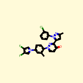 Cc1cc(-c2nn(-c3ccc(-n4cc(F)c(F)c4)cc3C)ccc2=O)n(-c2cccc(Cl)c2)n1